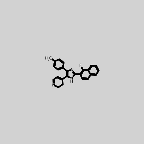 Cc1ccc(-c2nc(-c3ccc4ccccc4c3F)[nH]c2C2=CC=NCC2)cc1